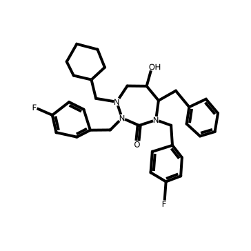 O=C1N(Cc2ccc(F)cc2)C(Cc2ccccc2)C(O)CN(CC2CCCCC2)N1Cc1ccc(F)cc1